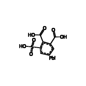 O=C(O)c1cccc(S(=O)(=O)O)c1C(=O)O.[Pb]